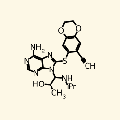 C#Cc1cc2c(cc1Sc1nc3c(N)ncnc3n1C(NC(C)C)C(C)O)OCCO2